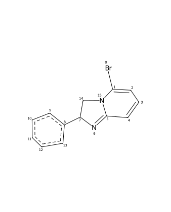 BrC1=CC=CC2=NC(c3ccccc3)CN12